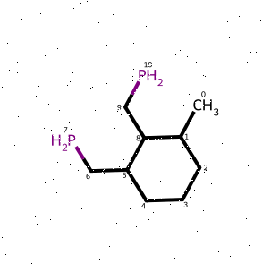 CC1CCCC(CP)C1CP